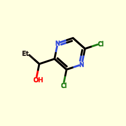 CCC(O)c1ncc(Cl)nc1Cl